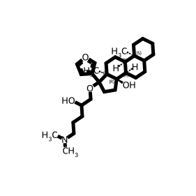 CN(C)CCCC(O)COC1(c2ccoc2)CC[C@@]2(O)[C@@H]3CCC4CCCC[C@]4(C)[C@@H]3CC[C@]12C